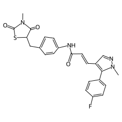 CN1C(=O)SC(Cc2ccc(NC(=O)C=Cc3cnn(C)c3-c3ccc(F)cc3)cc2)C1=O